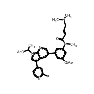 COc1cc(-c2cnc3c(c2)c(-c2ccnc(F)c2)cn3C(C)OC(C)=O)cc(N(C)C(=O)/C=C/CN(C)C)c1